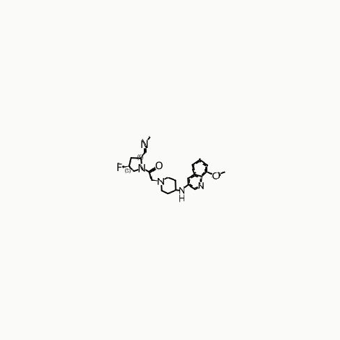 CN=C[C@@H]1C[C@H](F)CN1C(=O)CN1CCC(Nc2cnc3c(OC)cccc3c2)CC1